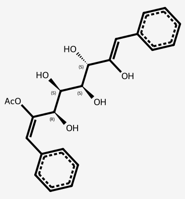 CC(=O)OC(=Cc1ccccc1)[C@H](O)[C@@H](O)[C@H](O)[C@H](O)C(O)=Cc1ccccc1